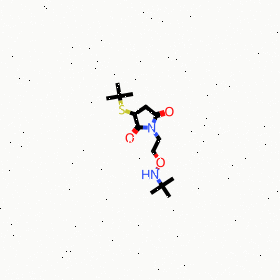 CC(C)(C)NOCCN1C(=O)CC(SC(C)(C)C)C1=O